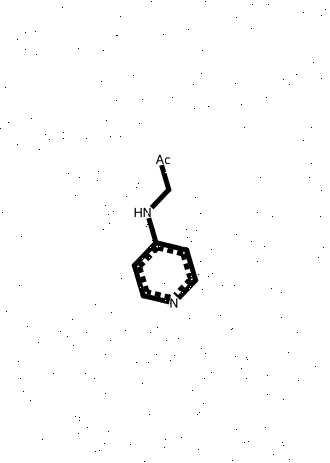 CC(=O)CNc1ccncc1